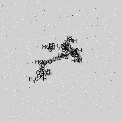 CCOC(=O)C1=C(Nc2ccccc2)S/C(=C\c2ccc(OCCOCCOCCOCCNC(=O)c3cc(N(C)C(=O)N(C)c4ccc(C5=NCCN5)cc4)cc(N(C)C(=O)N(C)c4ccc(C5=NCCN5)cc4)c3)c(O)c2)C1=O.O=C(O)C(F)(F)F